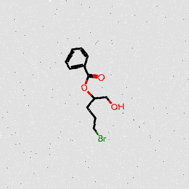 O=C(OC(CO)CCCBr)c1ccccc1